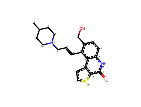 CC1CCN(C/C=C/c2c(CO)ccc3[nH]c(=O)c4sccc4c23)CC1